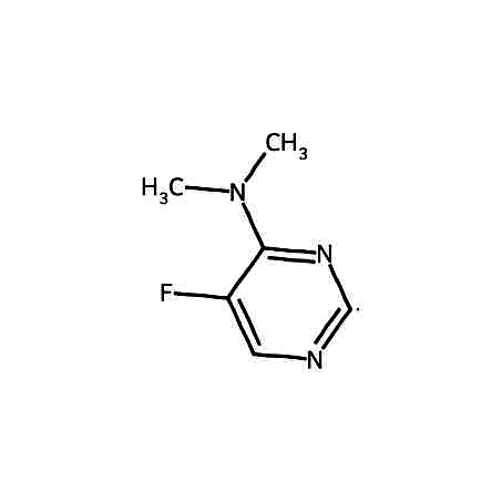 CN(C)c1n[c]ncc1F